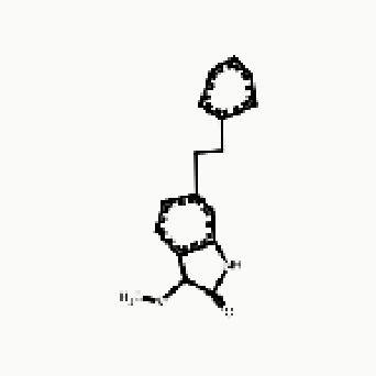 CSC1C(=O)Nc2cc(CCc3ccccc3)ccc21